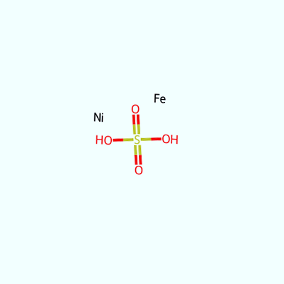 O=S(=O)(O)O.[Fe].[Ni]